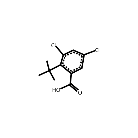 CC(C)(C)c1c(Cl)cc(Cl)cc1C(=O)O